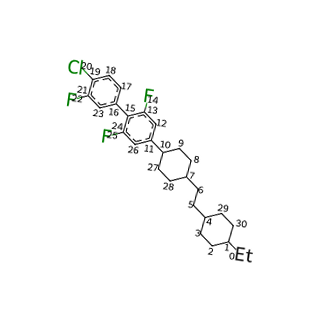 CCC1CCC(CCC2CCC(c3cc(F)c(-c4ccc(Cl)c(F)c4)c(F)c3)CC2)CC1